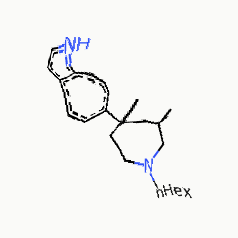 CCCCCCN1CCC(C)(c2ccc3cc[nH]c3c2)C(C)C1